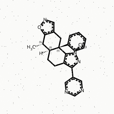 C[C@@H]1c2oncc2C[C@]2(c3ccccc3)c3c(c(-c4cncnc4)nn3C)CC[C@@H]12